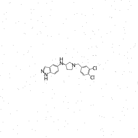 Clc1ccc(CN2CC[C@@H](Nc3ccc4[nH]ncc4c3)C2)cc1Cl